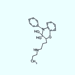 CCCNCCCC1Oc2ccccc2N(c2ccccc2)S1(O)O